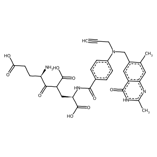 C#CCN(Cc1cc2c(=O)[nH]c(C)nc2cc1C)c1ccc(C(=O)N[C@H](CC(C(=O)O)C(=O)[C@H](N)CCC(=O)O)C(=O)O)cc1